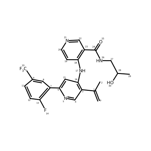 C=C(C)c1cnc(-c2cc(C(F)(F)F)ccc2F)cc1Nc1ccncc1C(=O)NCC(C)O